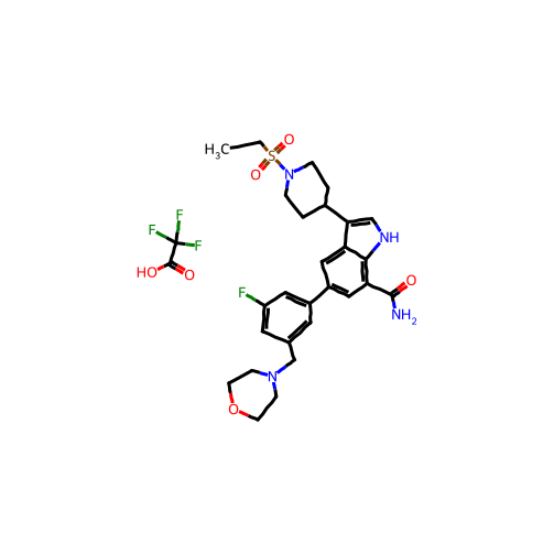 CCS(=O)(=O)N1CCC(c2c[nH]c3c(C(N)=O)cc(-c4cc(F)cc(CN5CCOCC5)c4)cc23)CC1.O=C(O)C(F)(F)F